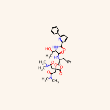 CC(C)C[C@H](NC(=O)C(NC(=O)c1cccc(-c2ccccc2)n1)[C@@H](C)O)B1OC(=O)C(CC(=O)N(C)C)(CC(=O)N(C)C)O1